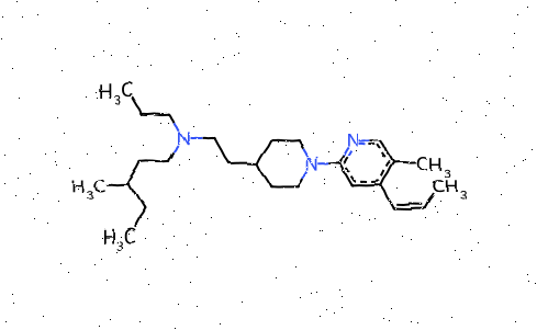 C/C=C\c1cc(N2CCC(CCN(CCC)CCC(C)CC)CC2)ncc1C